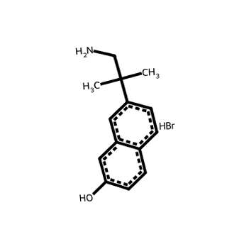 Br.CC(C)(CN)c1ccc2ccc(O)cc2c1